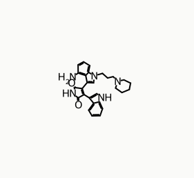 Nc1cccc2c1c(C1=C(c3c[nH]c4ccccc34)C(=O)NC1=O)cn2CCCN1CCCCC1